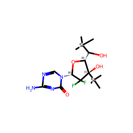 C[Si](C)(C)C(O)[C@H]1O[C@@H](n2cnc(N)nc2=O)C(F)(F)[C@@]1(O)[Si](C)(C)C